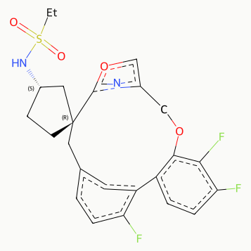 CCS(=O)(=O)N[C@H]1CC[C@@]2(Cc3ccc(F)c(c3)-c3ccc(F)c(F)c3OCc3coc2n3)C1